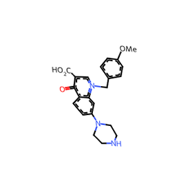 COc1ccc(Cn2cc(C(=O)O)c(=O)c3ccc(N4CCNCC4)cc32)cc1